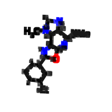 CCc1cccc(-c2nc3c(nc(NC)c4ncn(C)c43)o2)c1